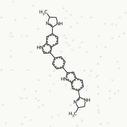 CC1CNC(c2ccc3cc(-c4ccc(-c5c[nH]c6cc(C7=NC(C)CN7)ccc56)cc4)[nH]c3c2)=N1